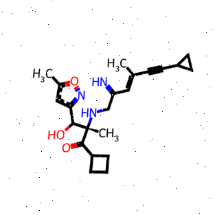 C/C(C#CC1CC1)=C\C(=N)CN[C@](C)(C(=O)C1CCC1)C(O)c1cc(C)on1